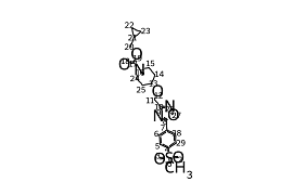 CS(=O)(=O)c1ccc(-c2nc(COC3CCN(C(=O)OCC4CC4)CC3)no2)cc1